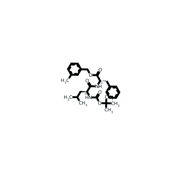 Cc1cccc(COC(=O)[C@H](Cc2ccccc2)NC(=O)[C@H](CC(C)C)NC(=O)OC(C)(C)C)c1